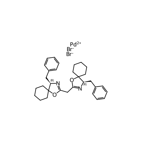 [Br-].[Br-].[Pd+2].c1ccc(C[C@H]2N=C(CC3=N[C@H](Cc4ccccc4)C4(CCCCC4)O3)OC23CCCCC3)cc1